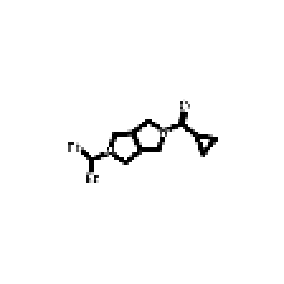 CCC(CC)N1CC2CN(C(=O)C3CC3)CC2C1